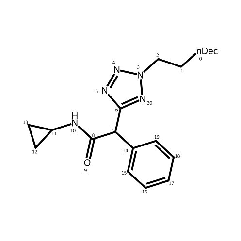 CCCCCCCCCCCCn1nnc(C(C(=O)NC2CC2)c2ccccc2)n1